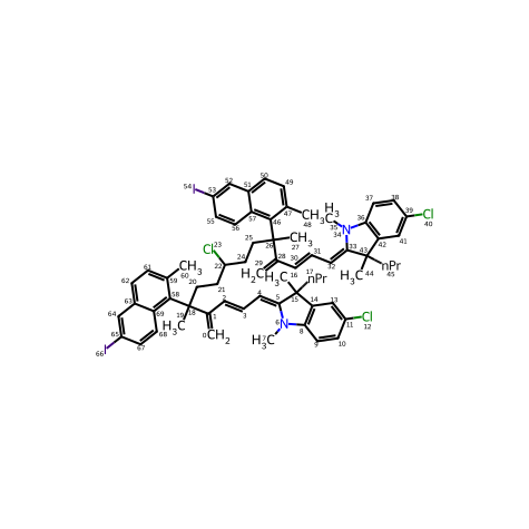 C=C(C=CC=C1N(C)c2ccc(Cl)cc2C1(C)CCC)C(C)(CCC(Cl)CCC(C)(C(=C)C=CC=C1N(C)c2ccc(Cl)cc2C1(C)CCC)c1c(C)ccc2cc(I)ccc12)c1c(C)ccc2cc(I)ccc12